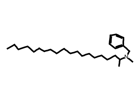 CCCCCCCCCCCCCCCCCCC(C)N(C)Cc1ccccc1